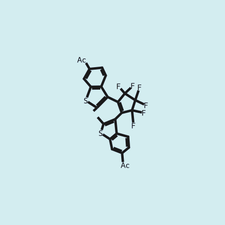 CC(=O)c1ccc2c(C3=C(c4c(C)sc5cc(C(C)=O)ccc45)C(F)(F)C(F)(F)C3(F)F)c(C)sc2c1